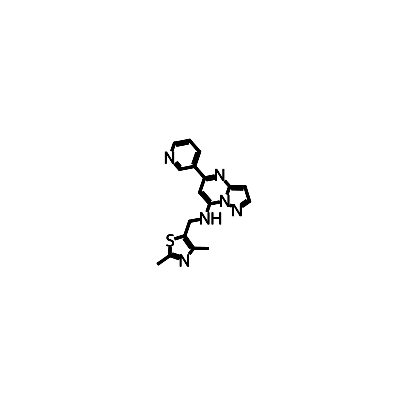 Cc1nc(C)c(CNc2cc(-c3cccnc3)nc3ccnn23)s1